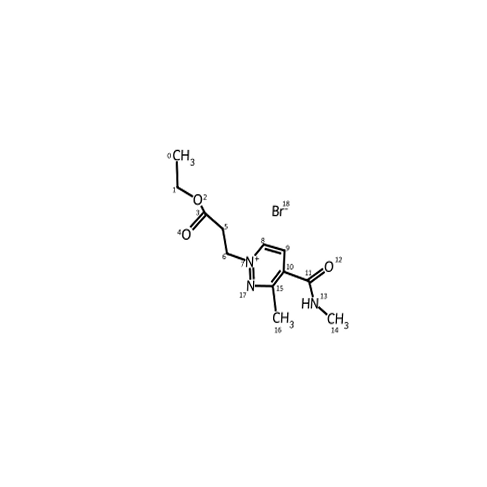 CCOC(=O)CC[n+]1ccc(C(=O)NC)c(C)n1.[Br-]